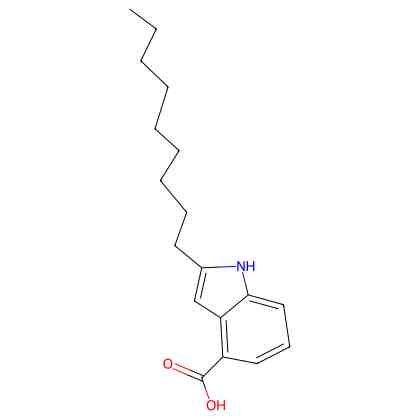 CCCCCCCCCc1cc2c(C(=O)O)cccc2[nH]1